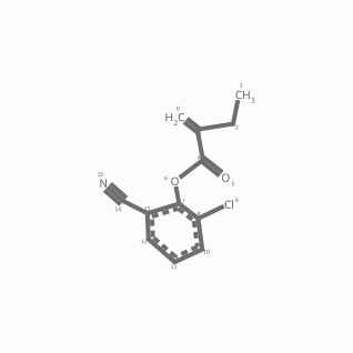 C=C(CC)C(=O)Oc1c(Cl)cccc1C#N